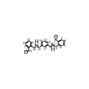 O=Cc1ccccc1CNCc1cccc(CNCc2ccccc2C=O)c1